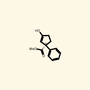 COC(=O)[C@]1(c2ccccc2)C=C(O)CC1